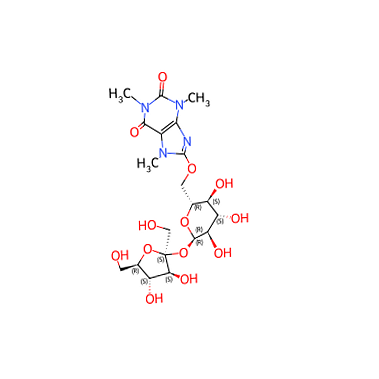 Cn1c(=O)c2c(nc(OC[C@H]3O[C@H](O[C@]4(CO)O[C@H](CO)[C@@H](O)[C@@H]4O)[C@H](O)[C@@H](O)[C@@H]3O)n2C)n(C)c1=O